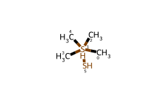 C[SH](C)(C)(C)S